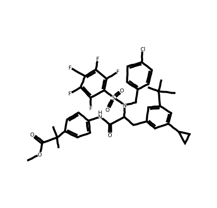 COC(=O)C(C)(C)c1ccc(NC(=O)C(Cc2cc(C3CC3)cc(C(C)(C)C)c2)N(Cc2ccc(Cl)cc2)S(=O)(=O)c2c(F)c(F)c(F)c(F)c2F)cc1